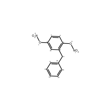 O=[N+]([O-])Oc1ccc(O[N+](=O)[O-])c(Cc2ccccc2)c1